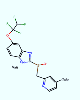 COc1ccnc(C[S+]([O-])c2nc3cc(OC(F)(F)C(F)F)ccc3[nH]2)c1.[NaH]